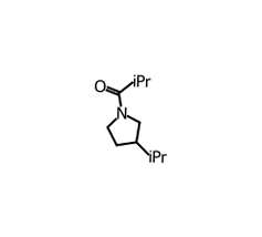 CC(C)C(=O)N1CCC(C(C)C)C1